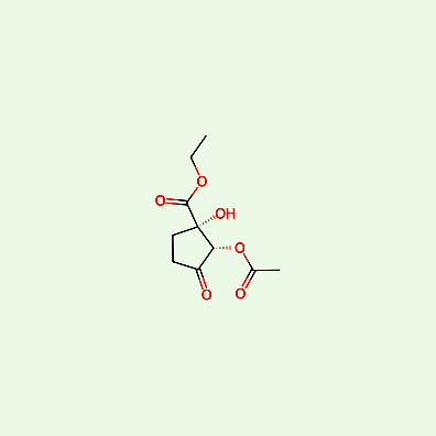 CCOC(=O)[C@]1(O)CCC(=O)[C@H]1OC(C)=O